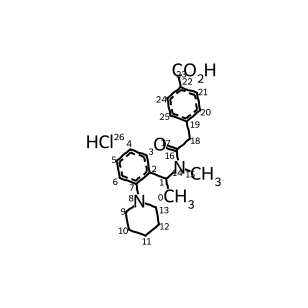 CC(c1ccccc1N1CCCCC1)N(C)C(=O)Cc1ccc(C(=O)O)cc1.Cl